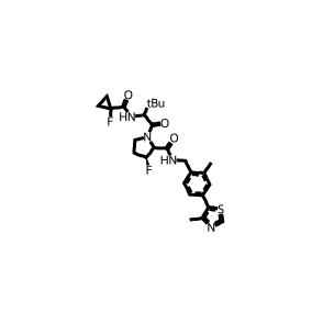 Cc1cc(-c2scnc2C)ccc1CNC(=O)C1[C@@H](F)CCN1C(=O)C(NC(=O)C1(F)CC1)C(C)(C)C